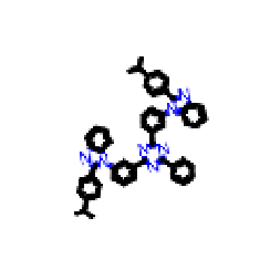 CC(C)c1ccc(-c2nc3ccccc3n2-c2cccc(-c3nc(-c4ccccc4)nc(-c4cccc(-n5c(-c6ccc(C(C)C)cc6)nc6ccccc65)c4)n3)c2)cc1